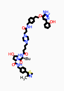 Cc1ncsc1-c1ccc(CNC(=O)[C@@H]2C[C@@H](O)CN2C(=O)[C@@H](NC(=O)CCCCN2CCN(CCC(=O)NCc3ccc(CCOc4cc(-c5ccccc5O)nnc4N)cc3)CC2)C(C)(C)C)cc1